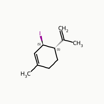 C=C(C)[C@@H]1CCC(C)=C[C@H]1I